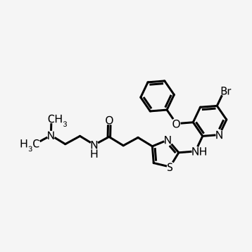 CN(C)CCNC(=O)CCc1csc(Nc2ncc(Br)cc2Oc2ccccc2)n1